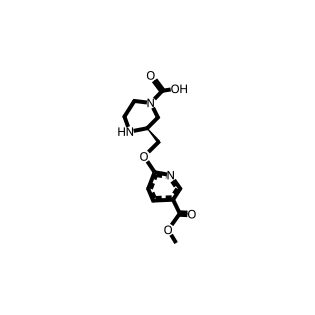 COC(=O)c1ccc(OC[C@@H]2CN(C(=O)O)CCN2)nc1